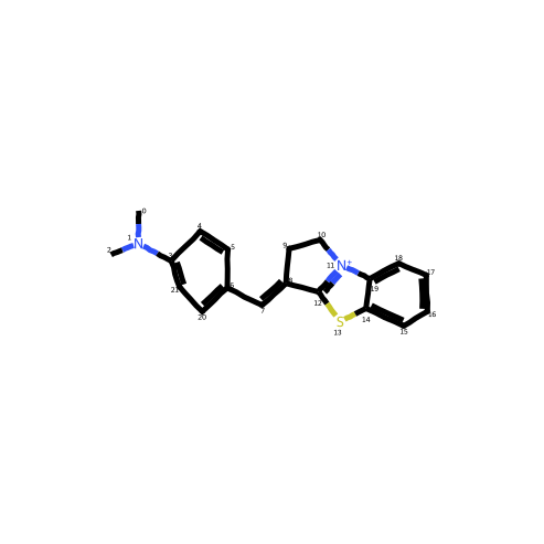 CN(C)c1ccc(C=C2CC[n+]3c2sc2ccccc23)cc1